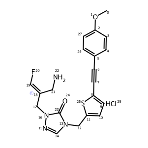 COc1ccc(C#Cc2ccc(Cn3cnn(C/C(=C/F)CN)c3=O)s2)cc1.Cl